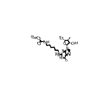 CC[C@H]1O[C@@H](n2cnc3c(=O)[nH]c(NCCCCCCNC(=O)OC(C)(C)C)nc32)[C@@H](O)[C@@H]1C